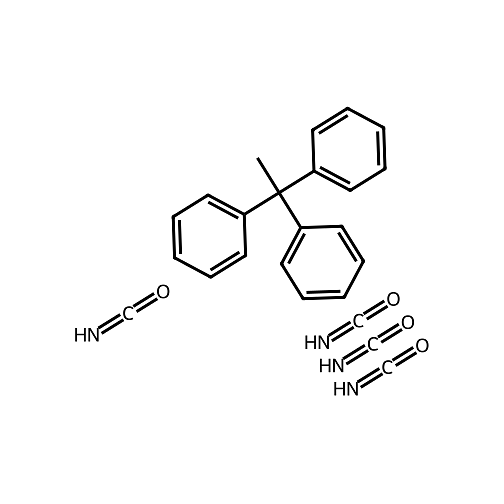 CC(c1ccccc1)(c1ccccc1)c1ccccc1.N=C=O.N=C=O.N=C=O.N=C=O